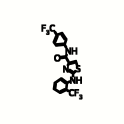 O=C(Nc1ccc(C(F)(F)F)cc1)c1csc(Nc2ccccc2C(F)(F)F)n1